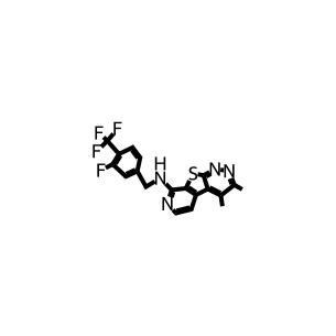 Cc1nnc2sc3c(NCc4ccc(C(F)(F)F)c(F)c4)nccc3c2c1C